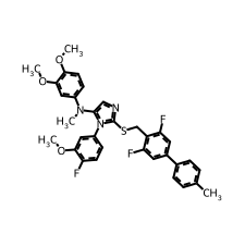 COc1cc(-n2c(N(C)c3ccc(OC)c(OC)c3)cnc2SCc2c(F)cc(-c3ccc(C)cc3)cc2F)ccc1F